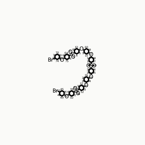 O=S(=O)(c1ccc(Oc2ccc(Oc3ccc(S(=O)(=O)c4ccc(Oc5cccc(Oc6ccc(S(=O)(=O)c7ccc(Oc8ccc(Br)cc8)cc7)cc6)c5)cc4)cc3)cc2)cc1)c1ccc(Oc2cccc(Br)c2)cc1